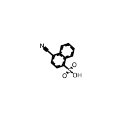 N#Cc1ccc(S(=O)(=O)O)c2ccccc12